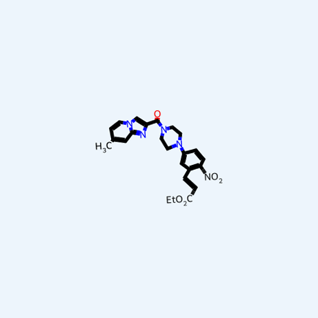 CCOC(=O)/C=C/c1cc(N2CCN(C(=O)c3cn4ccc(C)cc4n3)CC2)ccc1[N+](=O)[O-]